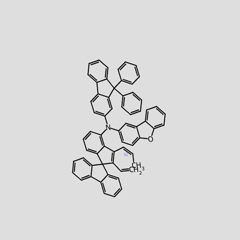 C=CC1=C(/C=C\C)c2c(N(c3ccc4c(c3)C(c3ccccc3)(c3ccccc3)c3ccccc3-4)c3ccc4oc5ccccc5c4c3)cccc2C12c1ccccc1-c1ccccc12